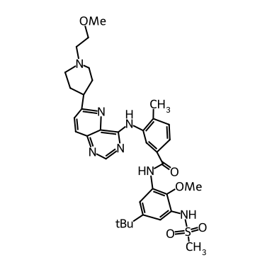 COCCN1CCC(c2ccc3ncnc(Nc4cc(C(=O)Nc5cc(C(C)(C)C)cc(NS(C)(=O)=O)c5OC)ccc4C)c3n2)CC1